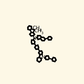 CC1(C)c2ccccc2-c2ccc(N(c3cccc(-c4ccc(-c5ccc6c(c5)c5ccccc5n6-c5ccc(-c6ccccc6)cc5)cc4)c3)c3ccc4cc(-c5ccccc5)ccc4c3)cc21